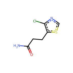 NC(=O)CCc1scnc1Cl